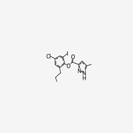 CCCc1cc(Cl)cc(I)c1OC(=O)c1cc(C)[nH]n1